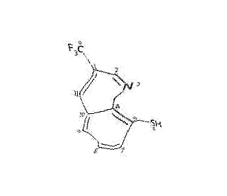 FC(F)(F)c1cnc2c(S)cccc2c1